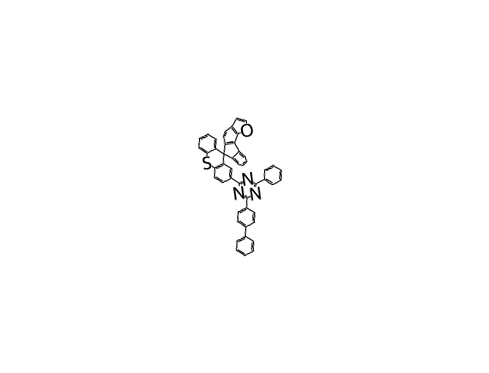 c1ccc(-c2ccc(-c3nc(-c4ccccc4)nc(-c4ccc5c(c4)C4(c6ccccc6S5)c5ccccc5-c5c4ccc4ccoc54)n3)cc2)cc1